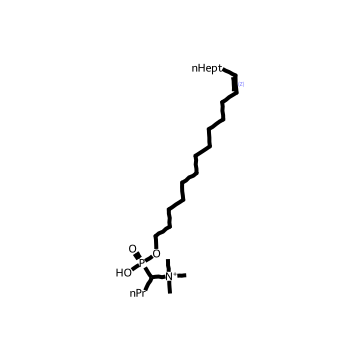 CCCCCCC/C=C\CCCCCCCCCCCOP(=O)(O)C(CCC)[N+](C)(C)C